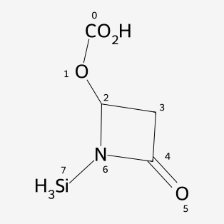 O=C(O)OC1CC(=O)N1[SiH3]